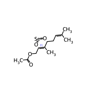 CC(=O)OC/C=C(\C)CCC=C(C)C.O=[Se]=O